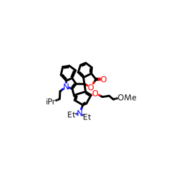 CCN(CC)c1ccc(C2(c3c(C)n(CCC(C)C)c4ccccc34)OC(=O)c3ccccc32)c(OCCCOC)c1